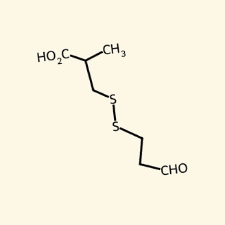 CC(CSSCCC=O)C(=O)O